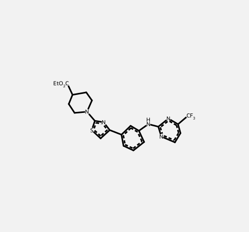 CCOC(=O)C1CCN(c2nc(-c3cccc(Nc4nccc(C(F)(F)F)n4)c3)cs2)CC1